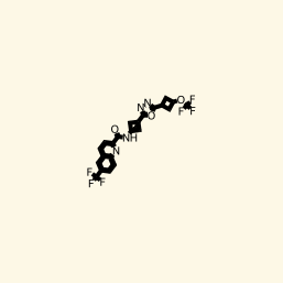 O=C(NC12CC(c3nnc(C4CC(OC(F)(F)F)C4)o3)(C1)C2)c1ccc2cc(C(F)(F)F)ccc2n1